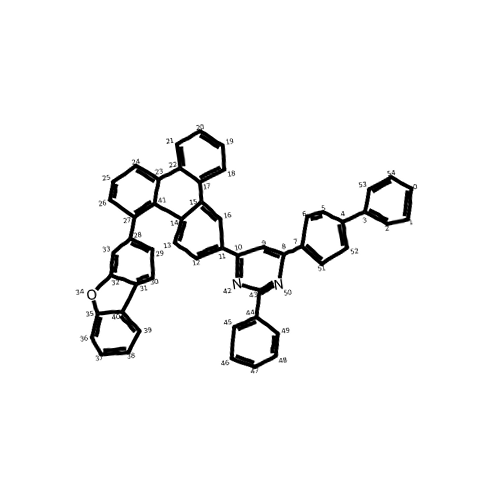 c1ccc(-c2ccc(-c3cc(-c4ccc5c(c4)c4ccccc4c4cccc(-c6ccc7c(c6)oc6ccccc67)c45)nc(-c4ccccc4)n3)cc2)cc1